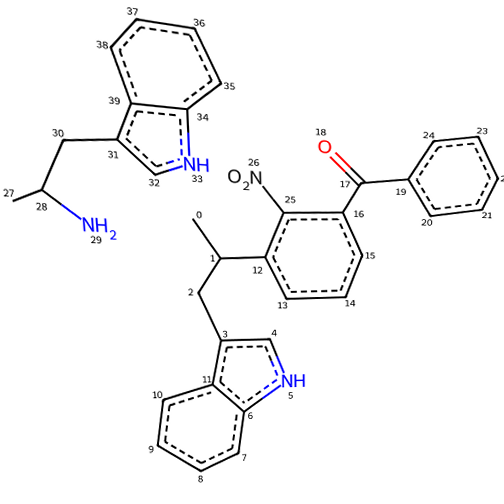 CC(Cc1c[nH]c2ccccc12)c1cccc(C(=O)c2ccccc2)c1[N+](=O)[O-].CC(N)Cc1c[nH]c2ccccc12